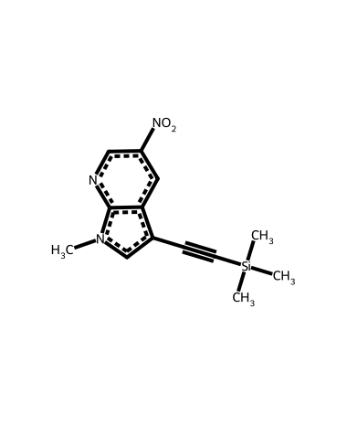 Cn1cc(C#C[Si](C)(C)C)c2cc([N+](=O)[O-])cnc21